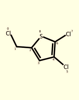 ClCc1cc(Cl)c(Cl)s1